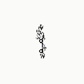 O=C(NC1(C(=O)NCC(F)(F)F)CC1)c1ccc(/C=C/C(c2cccc(OC(F)(F)F)c2)C(F)(F)F)cc1C(F)(F)F